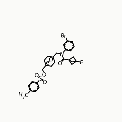 Cc1ccc(S(=O)(=O)OCC23CCC(CN(C(=O)C45CC(F)(C4)C5)c4cccc(Br)c4)(CC2)OC3)cc1